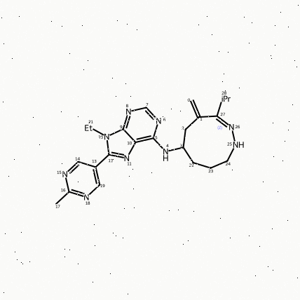 C=C1CC(Nc2ncnc3c2nc(-c2cnc(C)nc2)n3CC)CCCN/N=C\1C(C)C